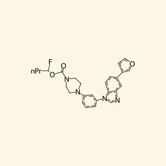 CCCC(F)OC(=O)N1CCN(c2cccc(-n3cnc4cc(-c5ccoc5)ccc43)c2)CC1